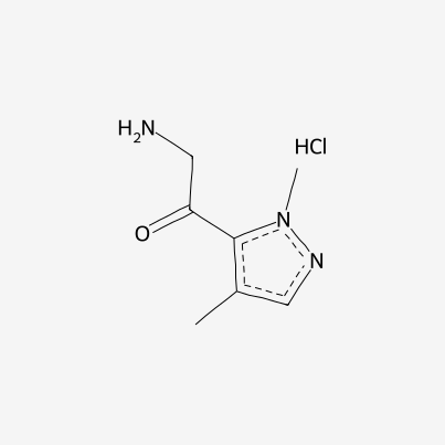 Cc1cnn(C)c1C(=O)CN.Cl